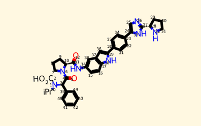 CC(C)N(C(=O)O)[C@@H](C(=O)N1CCC[C@H]1C(=O)Nc1ccc2[nH]c(-c3ccc(-c4cnc([C@@H]5CCCN5)[nH]4)cc3)cc2c1)c1ccccc1